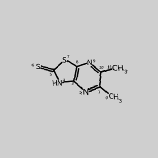 Cc1nc2[nH]c(=S)sc2nc1C